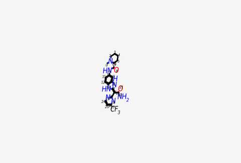 CN1CCCC[C@@H]1C(=O)Nc1ccc2c(c1)NC(=C(C(N)=O)c1nccc(C(F)(F)F)n1)N2